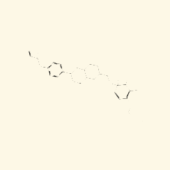 C=CCCc1ccc(C2CCC3CC(COC4(C)C=CC(OCC)=C(F)C4F)CCC3C2)cc1